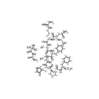 CC(C)[C@H](NC(=O)[C@H](CCCNC(=N)N)NC(=O)[C@@H](N)CC(N)=O)C(=O)N[C@@H](Cc1ccc(O)cc1)C(=O)N[C@H](C(=O)N[C@@H](Cc1cnc[nH]1)C(=O)N1CCC[C@H]1C(=O)N[C@@H](Cc1ccccc1)C(=O)O)C(C)C.CCC(Br)(CC)C(=O)NC(N)=O